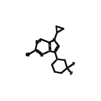 FC1(F)CCCC(c2cn(C3CC3)c3cnc(Cl)nc23)C1